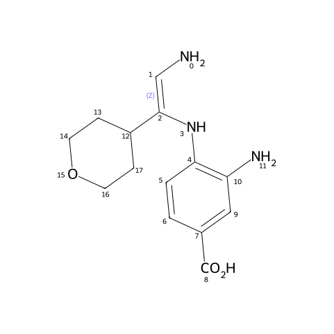 N/C=C(\Nc1ccc(C(=O)O)cc1N)C1CCOCC1